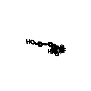 O=C(NCC(Cc1ccc(C#Cc2ccc(CCO)cc2)cc1)c1nc[nH]c(=O)c1O)C(F)F